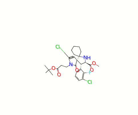 COC(=O)[C@@H]1NC2(CCCCC2)[C@@]2(C(=O)N(CCC(=O)OC(C)(C)C)c3cc(Cl)ccc32)[C@H]1c1cccc(Cl)c1F